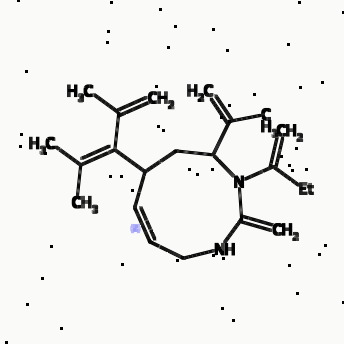 C=C(C)C(=C(C)C)C1/C=C\CNC(=C)N(C(=C)CC)C(C(=C)C)C1